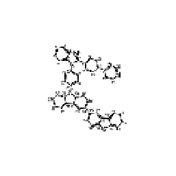 c1ccc2c(c1)nc(-c1ccc(-c3ccncc3)cc1)n2-c1ccc(-n2c3ccccc3c3cc(-c4ccc5sc6ccccc6c5c4)ccc32)cc1